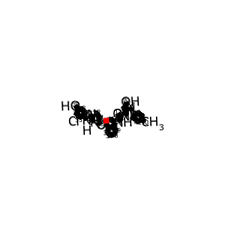 Cc1ccc(-n2nc(O)cc2NC(=O)Nc2ccc(Oc3ccnc(Nc4ccc(O)cc4Cl)n3)c3ccccc23)cc1